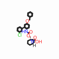 O=C(Nc1ccc(OCc2ccccc2)cc1-c1cccc(Cl)c1)OC[C@]12CCC[C@H](CC1)N2C(=O)O